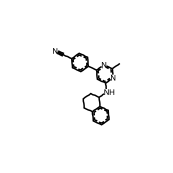 Cc1nc(NC2CCCc3ccccc32)cc(-c2ccc(C#N)cc2)n1